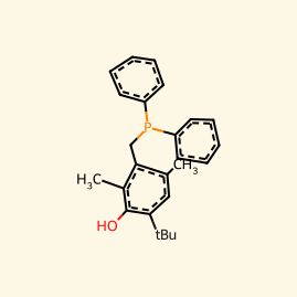 Cc1cc(C(C)(C)C)c(O)c(C)c1CP(c1ccccc1)c1ccccc1